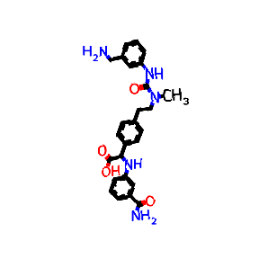 CN(CCc1ccc(C(Nc2cccc(C(N)=O)c2)C(=O)O)cc1)C(=O)Nc1cccc(CN)c1